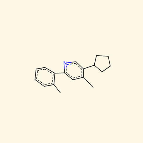 Cc1ccccc1-c1cc(C)c(C2CCCC2)cn1